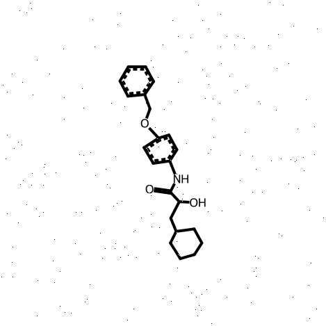 O=C(Nc1ccc(OCc2ccccc2)cc1)C(O)CC1CCCCC1